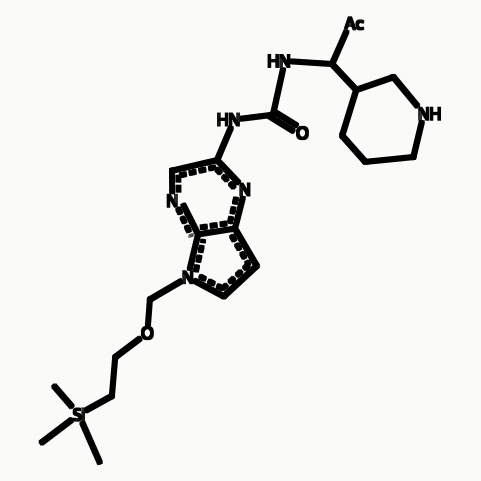 CC(=O)C(NC(=O)Nc1cnc2c(ccn2COCC[Si](C)(C)C)n1)C1CCCNC1